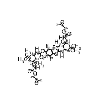 CC1(C)CC(NC(=O)Oc2c(F)c(F)c(OC(=O)NC3CC(C)(C)CC(C)(CNC(=O)OCC4CO4)C3)c(F)c2F)CC(C)(CNC(=O)OCC2CO2)C1